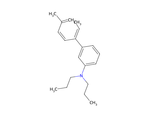 C=C(C)/C=C\C(=C/C)c1cccc(N(CCC)CCC)c1